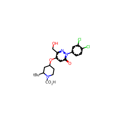 CC(C)(C)C1CC(Oc2cc(=O)n(-c3ccc(Cl)c(Cl)c3)nc2CO)CCN1C(=O)O